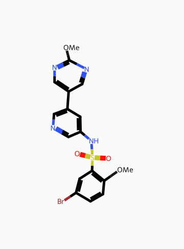 COc1ncc(-c2cncc(NS(=O)(=O)c3cc(Br)ccc3OC)c2)cn1